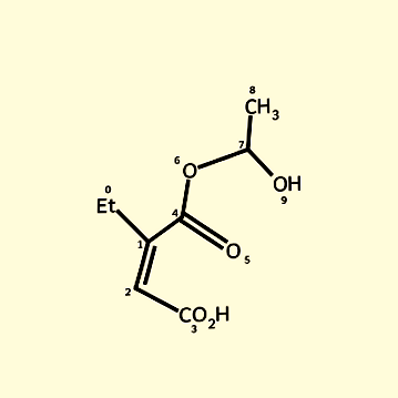 CCC(=CC(=O)O)C(=O)OC(C)O